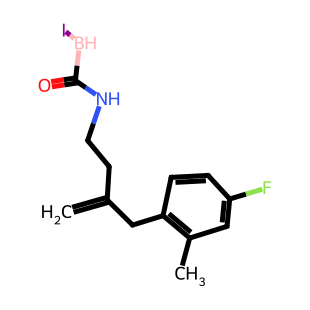 C=C(CCNC(=O)BI)Cc1ccc(F)cc1C